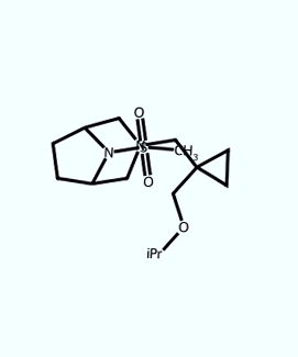 CC(C)OCC1(CN2CC3CCC(C2)N3S(C)(=O)=O)CC1